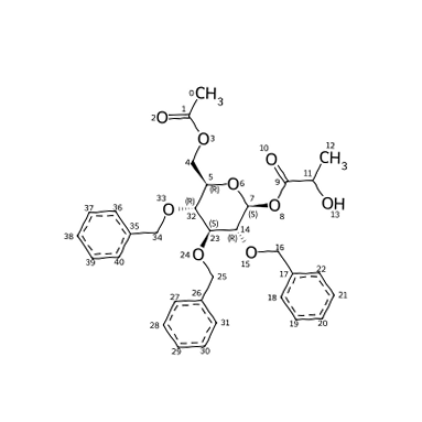 CC(=O)OC[C@H]1O[C@@H](OC(=O)C(C)O)[C@H](OCc2ccccc2)[C@@H](OCc2ccccc2)[C@@H]1OCc1ccccc1